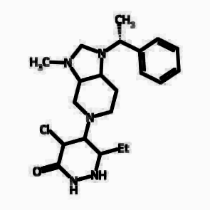 CCC1NNC(=O)C(Cl)C1N1CCC2C(C1)N(C)CN2[C@H](C)c1ccccc1